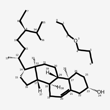 CCCOCCC.CC[C@H](CC[C@@H](C)[C@H]1CC[C@H]2[C@@H]3CC=C4C[C@@H](O)CC[C@]4(C)[C@H]3CC[C@]12C)C(C)C